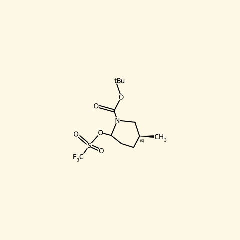 C[C@H]1CCC(OS(=O)(=O)C(F)(F)F)N(C(=O)OC(C)(C)C)C1